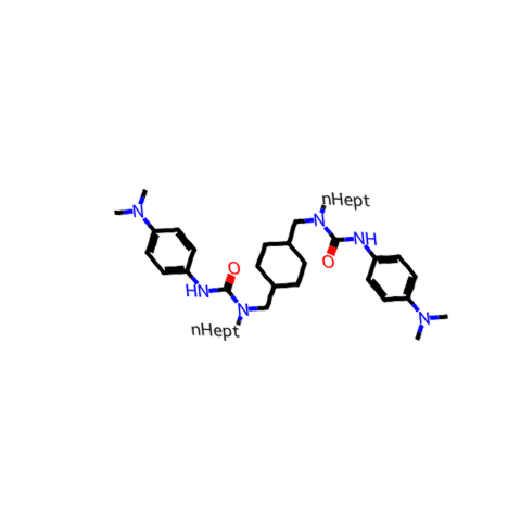 CCCCCCCN(CC1CCC(CN(CCCCCCC)C(=O)Nc2ccc(N(C)C)cc2)CC1)C(=O)Nc1ccc(N(C)C)cc1